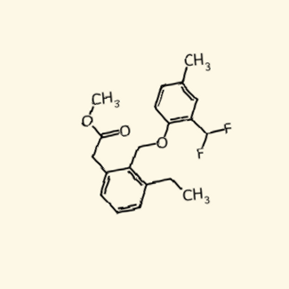 CCc1cccc(CC(=O)OC)c1COc1ccc(C)cc1C(F)F